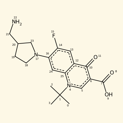 CC(C)(C)n1cc(C(=O)O)c(=O)c2cc(F)c(N3CCC(CN)C3)cc21